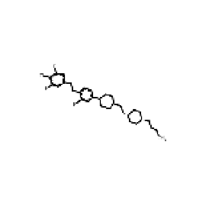 CCCC[C@H]1CC[C@H](CCC2CCC(c3ccc(CCc4cc(F)c(Cl)c(F)c4)c(F)c3)CC2)CC1